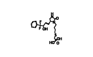 O=C1NC[C@H](C=CC(O)C(F)(F)c2ccccc2)N1CCCCSCP(=O)(O)O